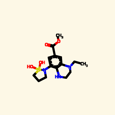 CCN1CCNc2c1cc(C(=O)OC)cc2N1CCCS1(O)O